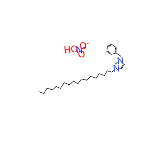 CCCCCCCCCCCCCCCCCCN1C=CN(Cc2ccccc2)C1.O=[N+]([O-])O